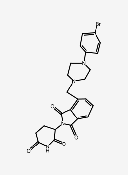 O=C1CCC(N2C(=O)c3cccc(CN4CCN(c5ccc(Br)cc5)CC4)c3C2=O)C(=O)N1